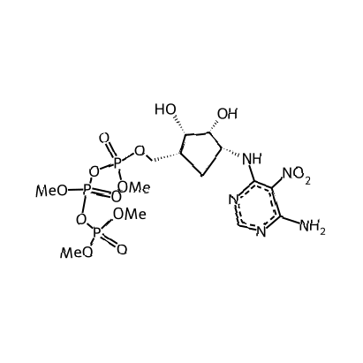 COP(=O)(OC)OP(=O)(OC)OP(=O)(OC)OC[C@H]1C[C@@H](Nc2ncnc(N)c2[N+](=O)[O-])[C@@H](O)[C@H]1O